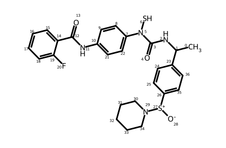 CC(NC(=O)N(S)c1ccc(NC(=O)c2ccccc2F)cc1)c1ccc([S+]([O-])N2CCCCC2)cc1